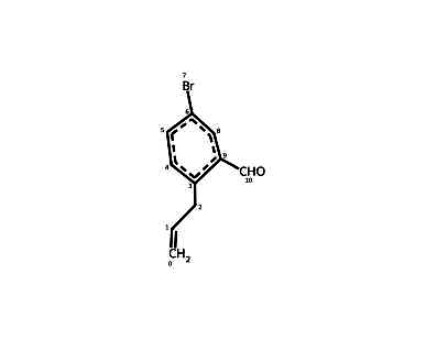 C=CCc1ccc(Br)cc1C=O